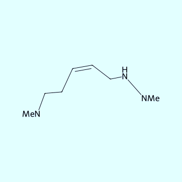 CNCC/C=C\CNNC